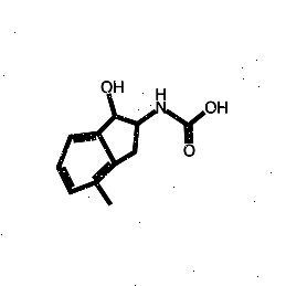 Cc1cccc2c1CC(NC(=O)O)C2O